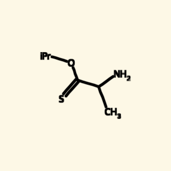 CC(C)OC(=S)C(C)N